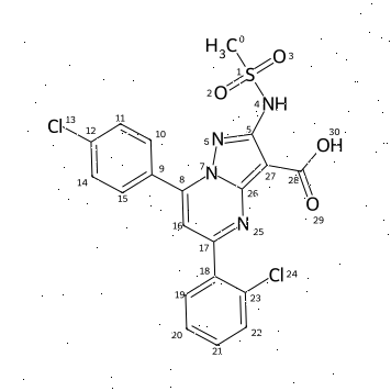 CS(=O)(=O)Nc1nn2c(-c3ccc(Cl)cc3)cc(-c3ccccc3Cl)nc2c1C(=O)O